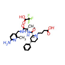 Cc1nc(N)ccc1CNC(=O)[C@H](C)NC(=O)[C@H]1C[C@@H](c2ccccc2)CCN1CCCC(=O)O.O=C(O)C(F)(F)F